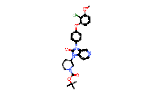 COc1cccc(Oc2ccc(-n3c(=O)n(C4CCCN(C(=O)OC(C)(C)C)C4)c4ccncc43)cc2)c1Cl